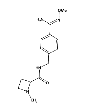 CO/N=C(\N)c1ccc(CNC(=O)C2CCN2C)cc1